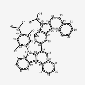 Cc1cc(-n2c3ccccc3c3c4ccccc4cc(-c4ccc5c(c4)c4c6ccccc6ccc4n5C(C)C)c32)c(C)cc1C(C)C